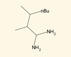 CCCCC(C)C(C)C(N)N